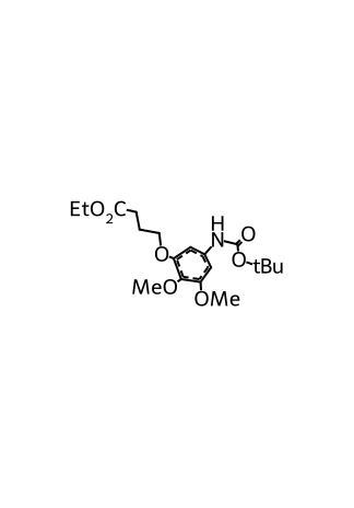 CCOC(=O)CCCOc1cc(NC(=O)OC(C)(C)C)cc(OC)c1OC